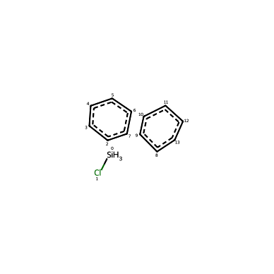 [SiH3]Cl.c1ccccc1.c1ccccc1